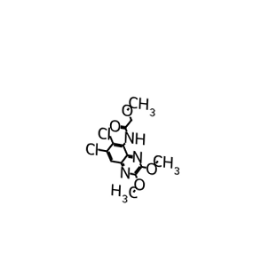 COCC(=O)Nc1c(Cl)c(Cl)cc2nc(OC)c(OC)nc12